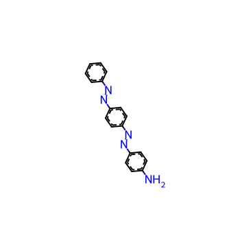 Nc1ccc(N=Nc2ccc(N=Nc3ccccc3)cc2)cc1